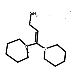 [SiH3]CC=C(N1CCCCC1)N1CCCCC1